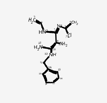 C=CNC(=N/C(=C)Cl)/C(N)=C(\N)NCc1ccccc1